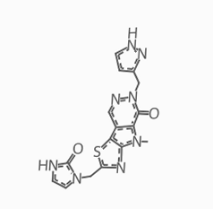 Cn1c2nc(Cn3cc[nH]c3=O)sc2c2cnn(Cc3cc[nH]n3)c(=O)c21